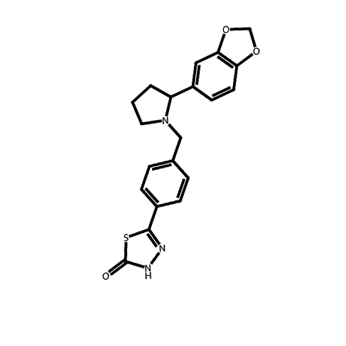 O=c1[nH]nc(-c2ccc(CN3CCCC3c3ccc4c(c3)OCO4)cc2)s1